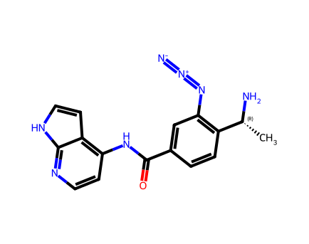 C[C@@H](N)c1ccc(C(=O)Nc2ccnc3[nH]ccc23)cc1N=[N+]=[N-]